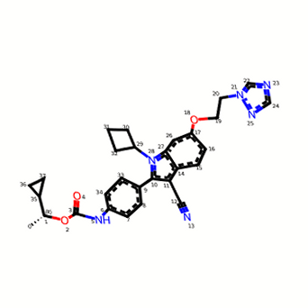 C[C@@H](OC(=O)Nc1ccc(-c2c(C#N)c3ccc(OCCn4cncn4)cc3n2C2CCC2)cc1)C1CC1